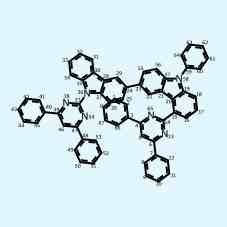 c1ccc(-c2cc(-c3ccccc3)nc(-c3cccc4c3c3cc(-c5ccc6c(c5)c5ccccc5n6-c5nc(-c6ccccc6)cc(-c6ccccc6)n5)ccc3n4-c3ccccc3)n2)cc1